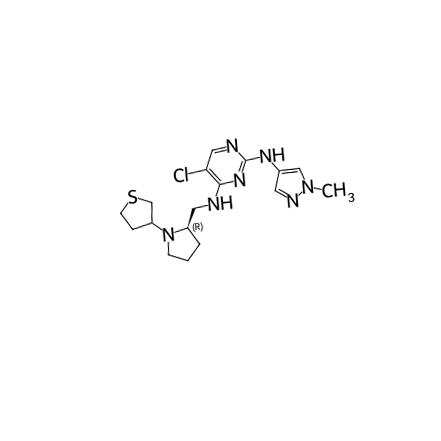 Cn1cc(Nc2ncc(Cl)c(NC[C@H]3CCCN3C3CCSC3)n2)cn1